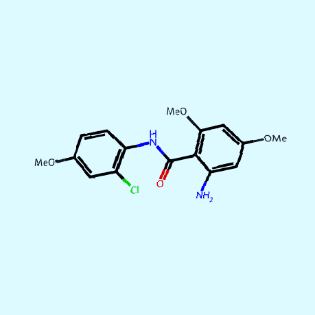 COc1ccc(NC(=O)c2c(N)cc(OC)cc2OC)c(Cl)c1